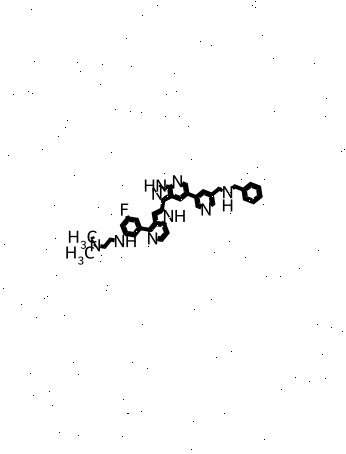 CN(C)CCNc1cc(F)cc(-c2nccc3[nH]c(-c4n[nH]c5ncc(-c6cncc(CNCc7ccccc7)c6)cc45)cc23)c1